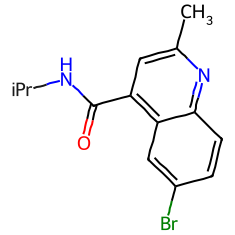 Cc1cc(C(=O)NC(C)C)c2cc(Br)ccc2n1